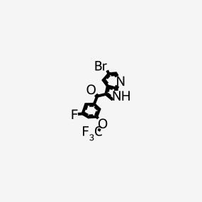 O=C(c1cc(F)cc(OC(F)(F)F)c1)c1c[nH]c2ncc(Br)cc12